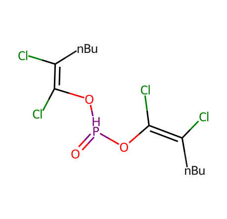 CCCC/C(Cl)=C(/Cl)O[PH](=O)O/C(Cl)=C(/Cl)CCCC